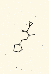 CN(CCN1CCCC1)C(=O)C1CC1